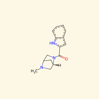 CN1C[C@@H]2CC1CN2C(=O)c1cc2ccccc2[nH]1